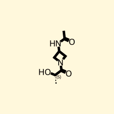 CC(=O)NC1CN(C(=O)[C@H](C)O)C1